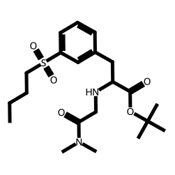 CCCCS(=O)(=O)c1cccc(CC(NCC(=O)N(C)C)C(=O)OC(C)(C)C)c1